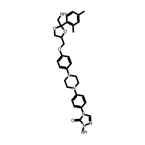 CCCn1ncn(-c2ccc(N3CCN(c4ccc(OCC5COC(CN)(c6ccc(C)cc6C)O5)cc4)CC3)cc2)c1=O